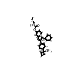 COCNC(=O)Oc1ccn2c(-c3ccccc3)c(-c3ccc(C4(N)CCC4)cc3)nc2c1